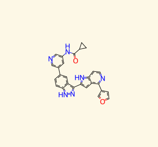 O=C(Nc1cncc(-c2ccc3[nH]nc(-c4cc5c(-c6ccoc6)nccc5[nH]4)c3c2)c1)C1CC1